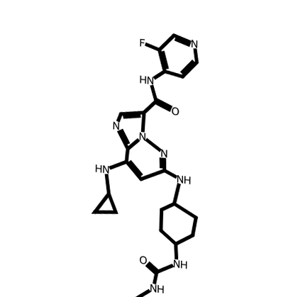 CNC(=O)NC1CCC(Nc2cc(NC3CC3)c3ncc(C(=O)Nc4ccncc4F)n3n2)CC1